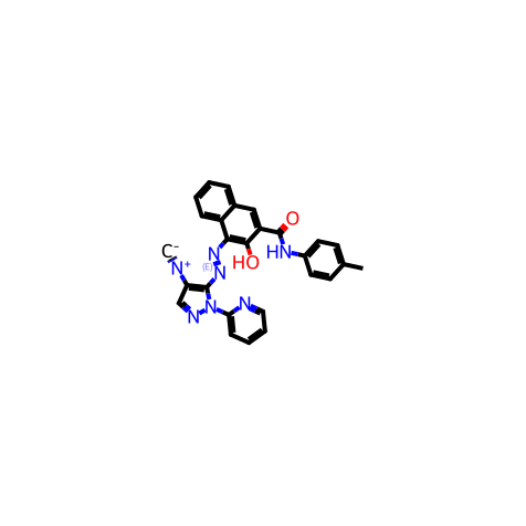 [C-]#[N+]c1cnn(-c2ccccn2)c1/N=N/c1c(O)c(C(=O)Nc2ccc(C)cc2)cc2ccccc12